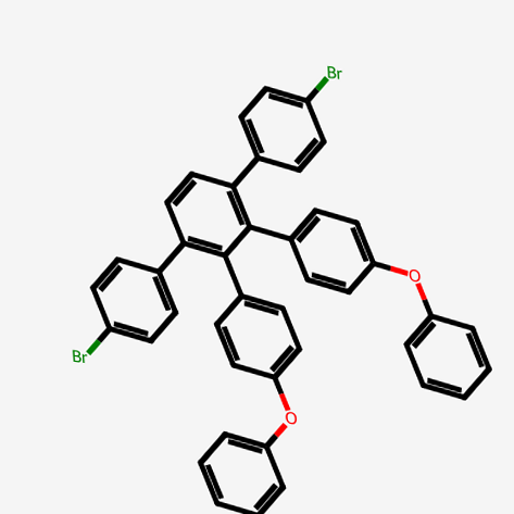 Brc1ccc(-c2ccc(-c3ccc(Br)cc3)c(-c3ccc(Oc4ccccc4)cc3)c2-c2ccc(Oc3ccccc3)cc2)cc1